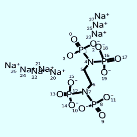 O=P([O-])([O-])N(CCN(P(=O)([O-])[O-])P(=O)([O-])[O-])P(=O)([O-])[O-].[Na+].[Na+].[Na+].[Na+].[Na+].[Na+].[Na+].[Na+]